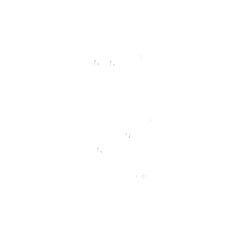 OCc1cnc2ccc(-c3c(-c4cc(F)ccc4F)nn4c3CCC4)cc2n1